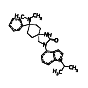 CC(C)n1ccc2c(N3C[C@]4(CC[C@](c5ccccc5)(N(C)C)CC4)NC3=O)cccc21